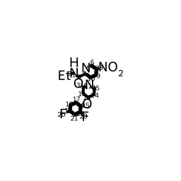 CCNC(=O)c1ncc([N+](=O)[O-])cc1N1CCC(Oc2ccc(F)cc2F)CC1